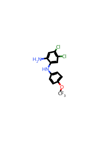 Nc1cc(Cl)c(Cl)cc1Nc1ccc(OC(F)(F)F)cc1